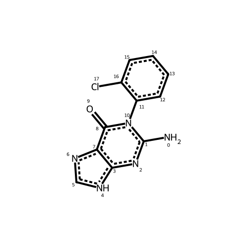 Nc1nc2[nH]cnc2c(=O)n1-c1ccccc1Cl